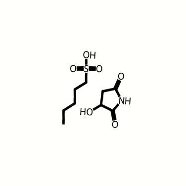 CCCCCS(=O)(=O)O.O=C1CC(O)C(=O)N1